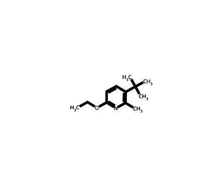 CCOc1ccc(C(C)(C)C)c(C)n1